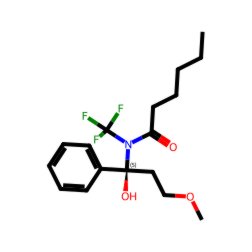 CCCCCC(=O)N(C(F)(F)F)[C@](O)(CCOC)c1ccccc1